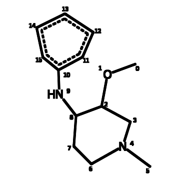 COC1CN(C)CCC1Nc1ccccc1